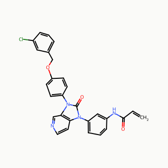 C=CC(=O)Nc1cccc(-n2c(=O)n(-c3ccc(OCc4cccc(Cl)c4)cc3)c3cnccc32)c1